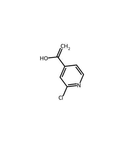 C=C(O)c1ccnc(Cl)c1